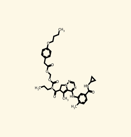 CCCCOc1ccc(CC(=O)OCOC(=O)N(CCC)C(=O)C2CN3N=CN=C(Nc4cc(C(=O)NC5CC5)ccc4C)C3=C2C)cc1